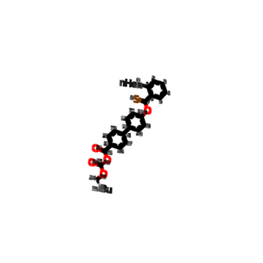 CCCCCCc1ccccc1C(=S)Oc1ccc(-c2ccc(C(=O)OC(=O)OC[C@@H](C)CC)cc2)cc1